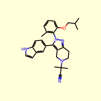 Cc1cccc(OCC(C)C)c1-n1nc2c(c1-c1ccc3[nH]ccc3c1)CN(C(C)(C)C#N)CC2